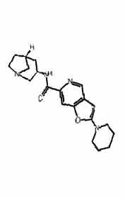 O=C(N[C@@H]1C[C@H]2CCN(C2)C1)c1cc2oc(N3CCCCC3)cc2cn1